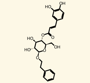 O=C(C=Cc1ccc(O)c(O)c1)O[C@H]1[C@H](O)[C@@H](O)[C@H](OCCc2ccccc2)O[C@@H]1CO